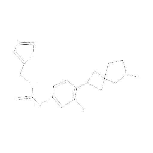 CC(=O)N1CCC2(CC(c3ccc(NC(=O)OCc4cnco4)cc3F)C2)C1